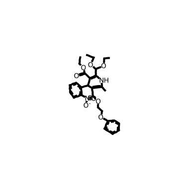 CCOC(=O)C1=C(C(OCC)OCC)NC(C)=C(C(=O)OCCOc2ccccc2)C1c1ccccc1[N+](=O)[O-]